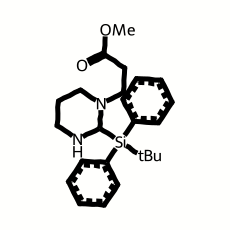 COC(=O)CCN1CCCNC1[Si](c1ccccc1)(c1ccccc1)C(C)(C)C